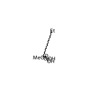 CC/C=C/C/C=C/C/C=C/C/C=C/C/C=C/C/C=C/CC(OC)C(=O)OC(CO)CO